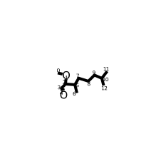 COC(C=O)C(C)CCCC(C)C